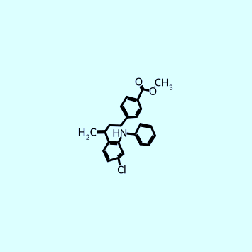 C=C(CCc1ccc(C(=O)OC)cc1)c1ccc(Cl)cc1Nc1ccccc1